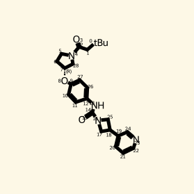 CC(C)(C)CC(=O)N1CC[C@@H](Oc2ccc(NC(=O)N3CC(c4cccnc4)C3)cc2)C1